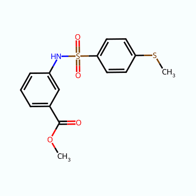 COC(=O)c1cccc(NS(=O)(=O)c2ccc(SC)cc2)c1